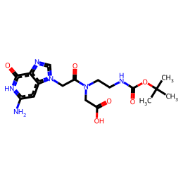 CC(C)(C)OC(=O)NCCN(CC(=O)O)C(=O)Cn1cnc2c(=O)[nH]c(N)cc21